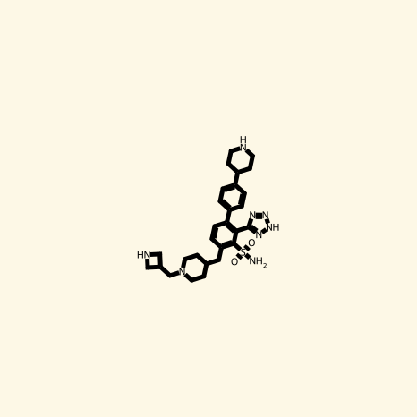 NS(=O)(=O)c1c(CC2CCN(CC3CNC3)CC2)ccc(-c2ccc(C3CCNCC3)cc2)c1-c1nn[nH]n1